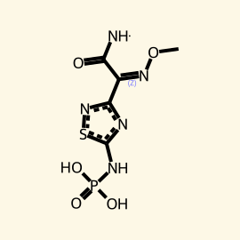 CO/N=C(\C([NH])=O)c1nsc(NP(=O)(O)O)n1